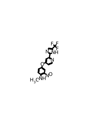 CNc1ccc(Oc2ccnc(-c3ncc(C(F)(F)F)[nH]3)c2)cc1N=O